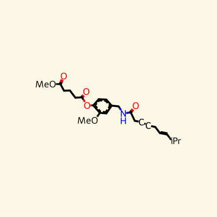 COC(=O)CCCC(=O)Oc1ccc(CNC(=O)CCCC/C=C/C(C)C)cc1OC